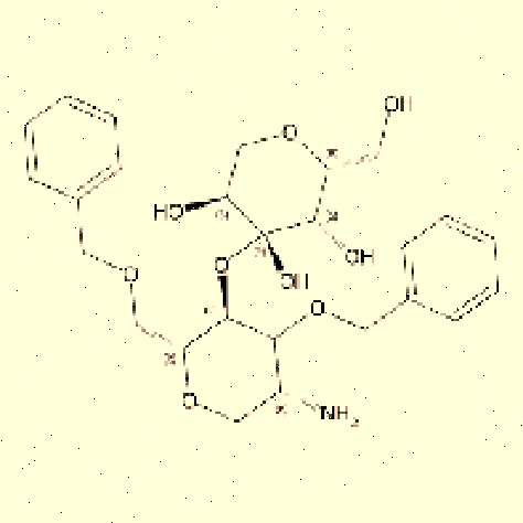 N[C@@H]1CO[C@H](COCc2ccccc2)[C@@H](O[C@]2(O)[C@@H](O)CO[C@H](CO)[C@@H]2O)[C]1OCc1ccccc1